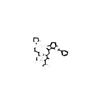 CC(C)[C@H](NN1CCC[C@H]1C=O)C(=O)C(=O)[C@H](CC(N)=O)NNC(Cc1c[nH]c2ccc3oc(-c4ccccc4)nc3c12)C(=O)C(=O)[C@@H](N)CC(=O)O